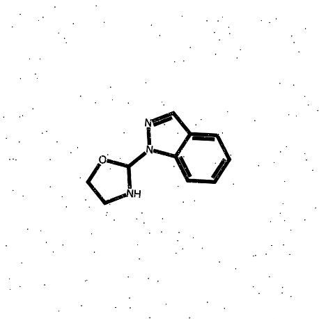 c1ccc2c(c1)cnn2C1NCCO1